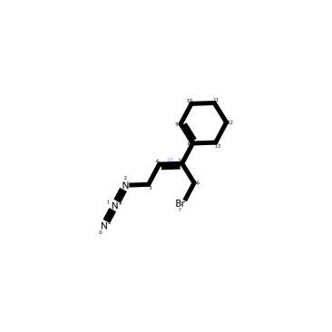 [N-]=[N+]=NC/C=C(\CBr)C1=CCCCC1